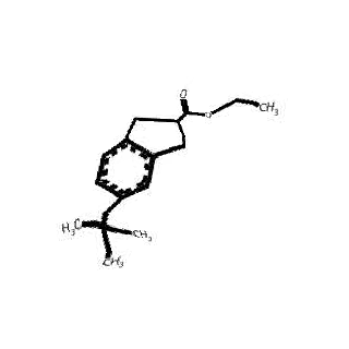 CCOC(=O)C1Cc2ccc(C(C)(C)C)cc2C1